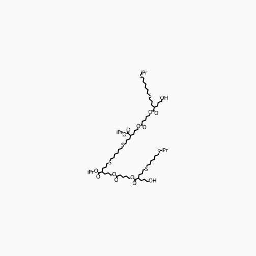 CC(C)OC(=O)C(CCCOC(=O)CCCCOC(=O)C(CCCO)CCCSCCCCCCSC(C)C)CCCSCCCCCCSCCCC(CCCOC(=O)CCCCOC(=O)C(CCCO)CCCSCCCCCCSC(C)C)C(=O)OC(C)C